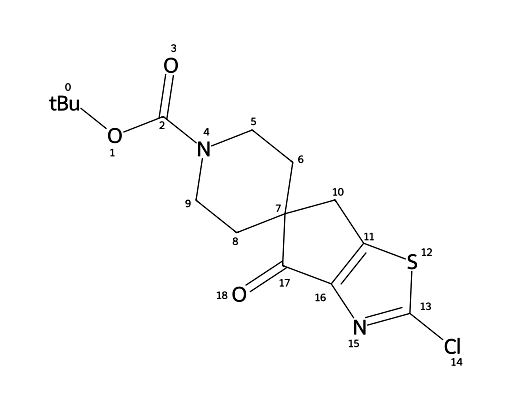 CC(C)(C)OC(=O)N1CCC2(CC1)Cc1sc(Cl)nc1C2=O